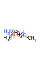 CC#CCOc1cnc(C(=O)Nc2ccc(F)c([C@@]3(C)N=C(N)O[C@H](C(C)(F)F)[C@@H]3F)c2)cn1